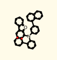 c1ccc(-c2ccccc2N(c2cccc(-c3cccc4ccccc34)c2)c2cccc3c2oc2ccccc23)cc1